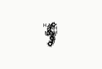 N[C@@H]1CCCC[C@H]1NC(=O)c1sc2nccc3c2c1NC(=O)N3c1ccc(Oc2ccccc2)nc1